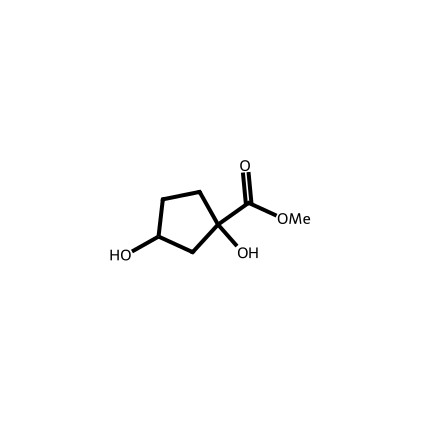 COC(=O)C1(O)CCC(O)C1